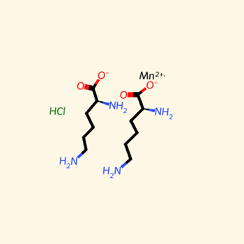 Cl.NCCCC[C@H](N)C(=O)[O-].NCCCC[C@H](N)C(=O)[O-].[Mn+2]